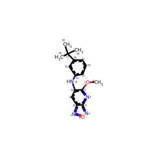 COc1nc2nonc2cc1Nc1cccc(C(C)(C)C)c1